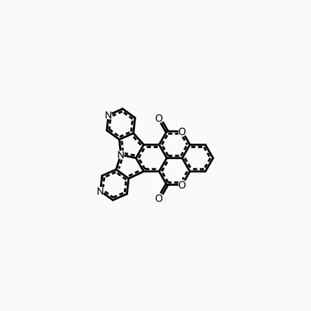 O=c1oc2cccc3oc(=O)c4c(c1c1c5ccncc5n5c6cnccc6c4c15)c23